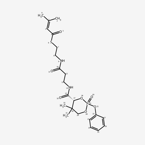 CC(C)=CC(=O)SCCNC(=O)CCNC(=O)[C@@H]1OP(=O)(Oc2ccccc2)OCC1(C)C